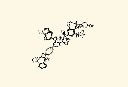 CC(C)c1ccccc1[C@@H]1CCCN1C1CC2(CCN(c3ccc(C(=O)NS(=O)(=O)c4cc5c(c([N+](=O)[O-])c4)NC(C)(C4CCC(O)CC4)CO5)c(Oc4cnc5[nH]ccc5c4)c3)CC2)C1